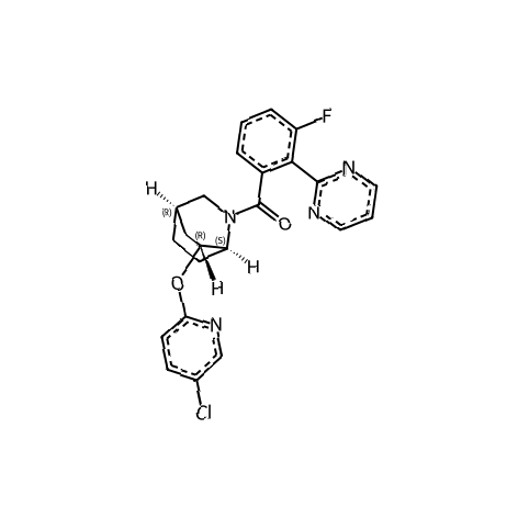 O=C(c1cccc(F)c1-c1ncccn1)N1C[C@@H]2CC[C@H]1[C@H](Oc1ccc(Cl)cn1)C2